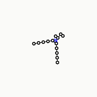 c1ccc(-c2ccc(-c3ccc(-c4ccc(-c5ccc6c(c5)c5cc(-c7ccc(-c8ccc(-c9ccc(-c%10ccccc%10)cc9)cc8)cc7)ccc5n6-c5ccc(-c6cccc7ccccc67)c6ccccc56)cc4)cc3)cc2)cc1